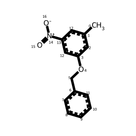 Cc1cc(OCc2ccccc2)cc([N+](=O)[O-])c1